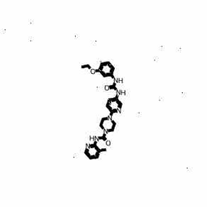 CCOc1cccc(NC(=O)Nc2ccc(N3CCN(C(=O)Nc4ncccc4C)CC3)nc2)c1